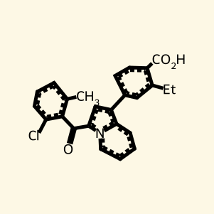 CCc1cc(-c2cc(C(=O)c3c(C)cccc3Cl)n3ccccc23)ccc1C(=O)O